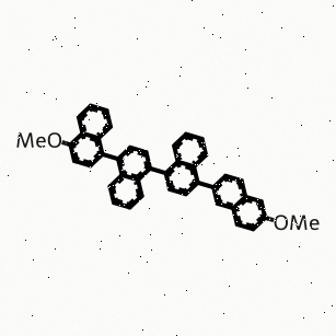 COc1ccc2cc(-c3ccc(-c4ccc(-c5ccc(OC)c6ccccc56)c5ccccc45)c4ccccc34)ccc2c1